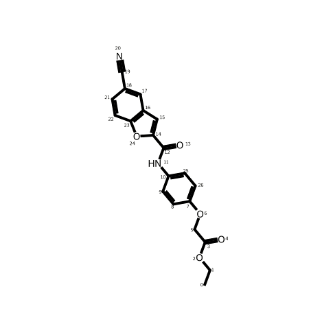 CCOC(=O)COc1ccc(NC(=O)c2cc3cc(C#N)ccc3o2)cc1